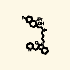 CC(C)[C@H]1c2ccc(F)cc2CC[C@]1(O)CCN(C)CCCCn1c(=O)n(Cc2ccccn2)c2ccccc21